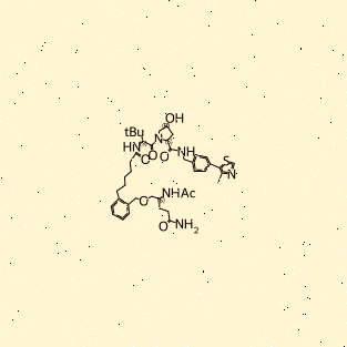 CC(=O)N[C@@H](CCC(N)=O)COCc1ccccc1CCCCCC(=O)N[C@H](C(=O)N1C[C@H](O)C[C@H]1C(=O)NCc1ccc(-c2scnc2C)cc1)C(C)(C)C